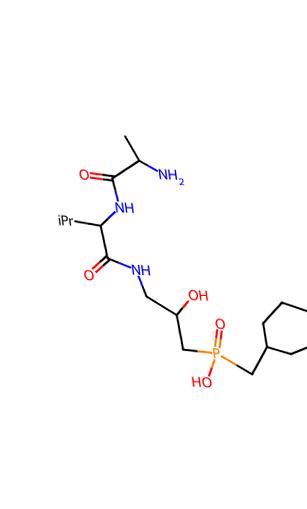 CC(N)C(=O)NC(C(=O)NCC(O)CP(=O)(O)CC1CCCCC1)C(C)C